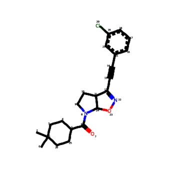 CC1(C)CCC(C(=O)N2CCC3C(C#Cc4cccc(Cl)c4)=NOC32)CC1